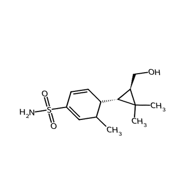 CC1C=C(S(N)(=O)=O)C=CC1[C@@H]1[C@@H](CO)C1(C)C